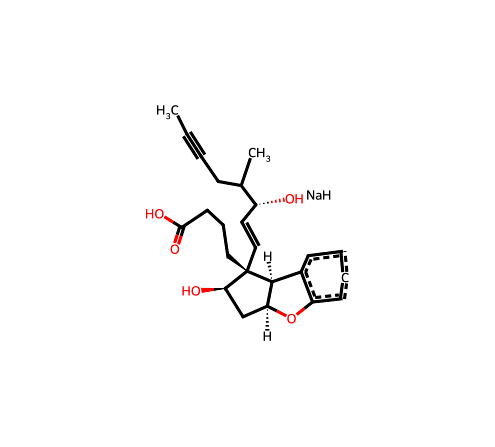 CC#CCC(C)[C@H](O)/C=C/[C@@]1(CCCC(=O)O)[C@H](O)C[C@@H]2Oc3ccccc3[C@@H]21.[NaH]